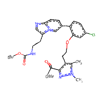 COC(=O)c1nn(C)c(C)c1CCOc1cc(Cl)ccc1-c1ccc2ncc(CCNC(=O)OC(C)(C)C)n2c1